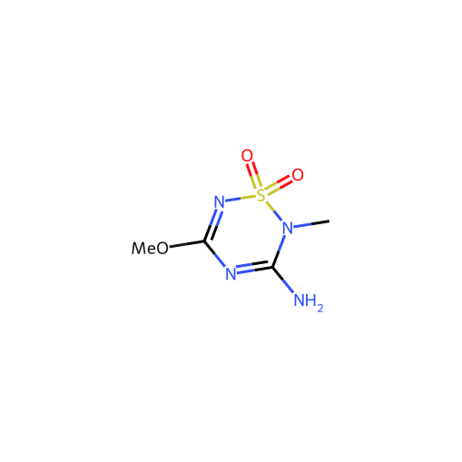 COC1=NS(=O)(=O)N(C)C(N)=N1